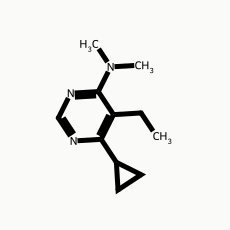 CCc1c(C2CC2)ncnc1N(C)C